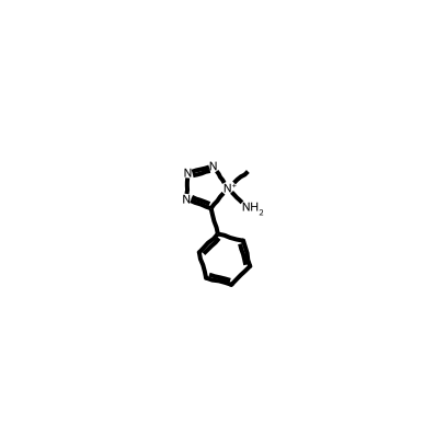 C[N+]1(N)N=NN=C1c1ccccc1